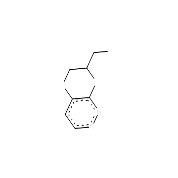 OCC1COc2c[c]nnc2O1